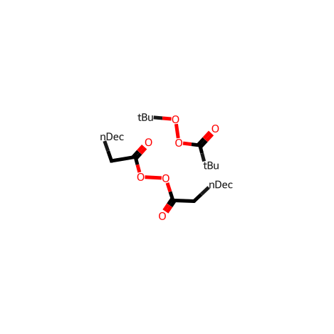 CC(C)(C)OOC(=O)C(C)(C)C.CCCCCCCCCCCC(=O)OOC(=O)CCCCCCCCCCC